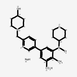 CCN(c1cc(-c2ccc(CN3CCC(O)CC3)nc2)cc(C(=O)O)c1C)C1CCOCC1.[NaH]